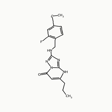 CCCc1cc(=O)n2nc(NCc3ccc(OC)cc3F)nc2[nH]1